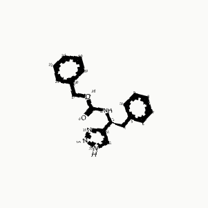 O=C(N[C@@H](Cc1ccccc1)c1c[nH]nn1)OCc1ccccc1